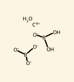 O.[C+4].[O-]B(O)O.[O-]B([O-])[O-]